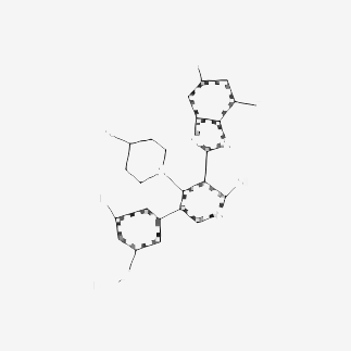 COc1cc(F)cc(-c2cnc(N)c(-c3nc4cc(Cl)cc(F)c4[nH]3)c2N2CCC(N)CC2)c1